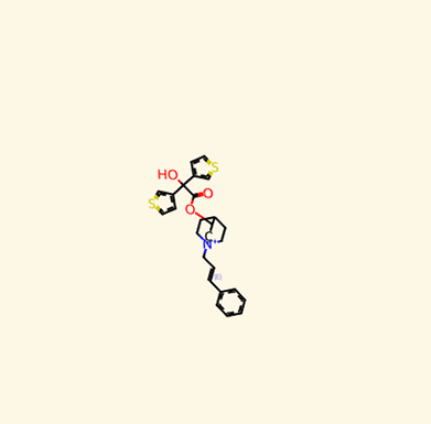 O=C(OC1C[N+]2(C/C=C/c3ccccc3)CCC1CC2)C(O)(c1ccsc1)c1ccsc1